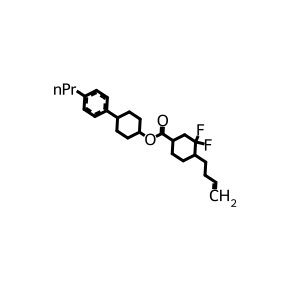 C=CCCC1CCC(C(=O)OC2CCC(c3ccc(CCC)cc3)CC2)CC1(F)F